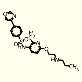 CCCNCCOc1ccc(NS(=O)(=O)c2ccc(-c3cocn3)cc2)c(C)n1